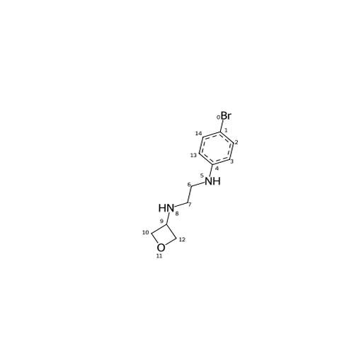 Brc1ccc(NCCNC2COC2)cc1